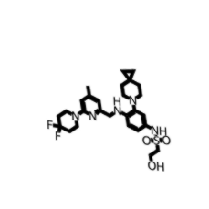 Cc1cc(CNc2ccc(NS(=O)(=O)CCO)cc2N2CCC3(CC2)CC3)nc(N2CCC(F)(F)CC2)c1